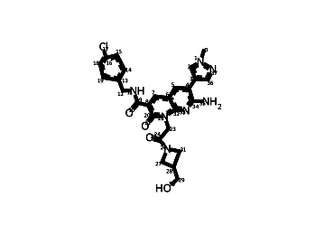 Cn1cc(-c2cc3cc(C(=O)NCc4ccc(Cl)cc4)c(=O)n(CC(=O)N4CC(CO)C4)c3nc2N)cn1